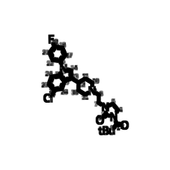 CC(C)(C)C(=O)N1CCN(CCN2CCC(c3cn(-c4ccc(F)cc4)c4ccc(Cl)cc34)CC2)C1=O